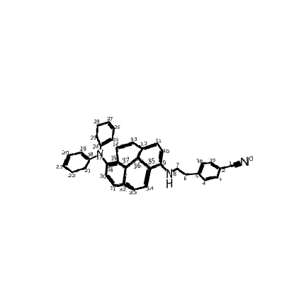 N#Cc1ccc(CCNC2=CC=C3C=CC4=C(N(C5=CC=CCC5)C5=CC=CCC5)C=CC5=CC=C2C3C54)cc1